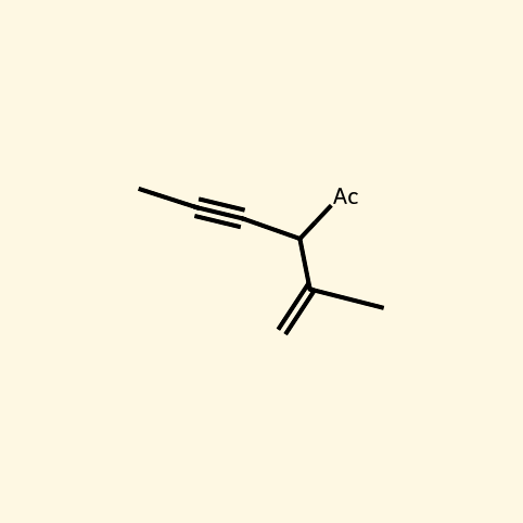 C=C(C)C(C#CC)C(C)=O